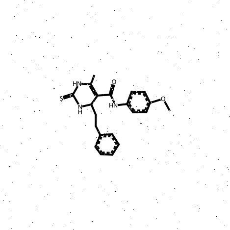 COc1ccc(NC(=O)C2=C(C)NC(=S)NC2CCc2ccccc2)cc1